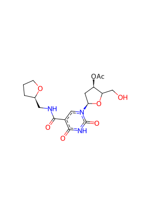 CC(=O)O[C@@H]1C[C@H](n2cc(C(=O)NC[C@H]3CCCO3)c(=O)[nH]c2=O)OC1CO